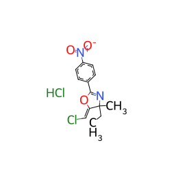 CCC1(C)N=C(c2ccc([N+](=O)[O-])cc2)OC1=CCl.Cl